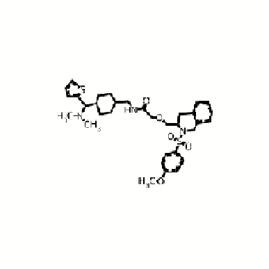 COc1ccc(S(=O)(=O)N2Cc3ccccc3CC2COCC(=O)NCC2CCC(C(c3cccs3)N(C)C)CC2)cc1